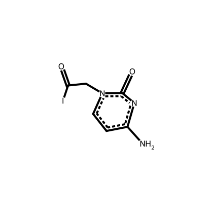 Nc1ccn(CC(=O)I)c(=O)n1